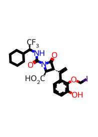 C=C(c1cccc(O)c1OCI)[C@H]1C(=O)N(C(=O)N[C@@H](C2CCCCC2)C(F)(F)F)[C@@H]1C(=O)O